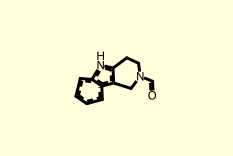 O=CN1CCc2[nH]c3ccccc3c2C1